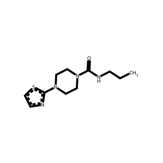 CCCNC(=O)N1CCN(c2nccs2)CC1